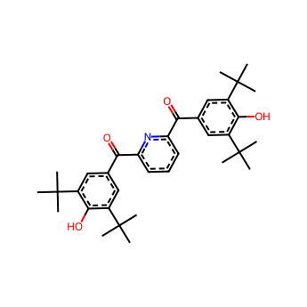 CC(C)(C)c1cc(C(=O)c2cccc(C(=O)c3cc(C(C)(C)C)c(O)c(C(C)(C)C)c3)n2)cc(C(C)(C)C)c1O